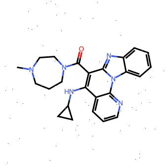 CN1CCCN(C(=O)c2c(NC3CC3)c3cccnc3n3c2nc2ccccc23)CC1